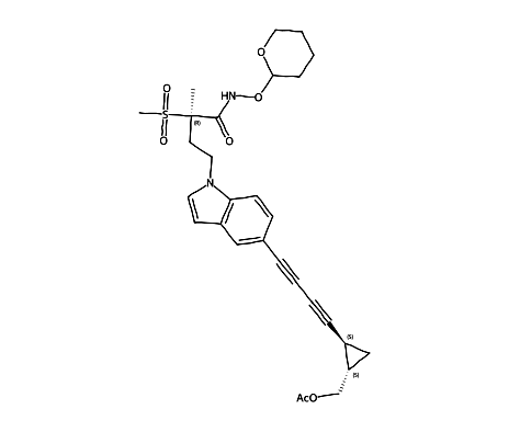 CC(=O)OC[C@H]1C[C@@H]1C#CC#Cc1ccc2c(ccn2CC[C@](C)(C(=O)NOC2CCCCO2)S(C)(=O)=O)c1